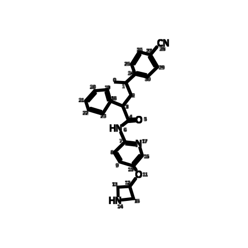 CC(CC(C(=O)Nc1ccc(OC2CNC2)cn1)c1ccccc1)c1ccc(C#N)cc1